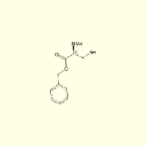 CN[C@@H](CS)C(=O)OCc1ccccc1